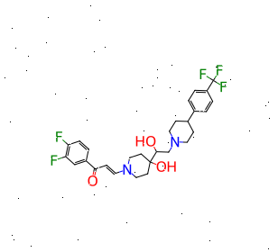 O=C(C=CN1CCC(O)(C(O)CN2CCC(c3ccc(C(F)(F)F)cc3)CC2)CC1)c1ccc(F)c(F)c1